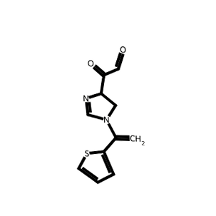 C=C(c1cccs1)N1C=NC(C(=O)C=O)C1